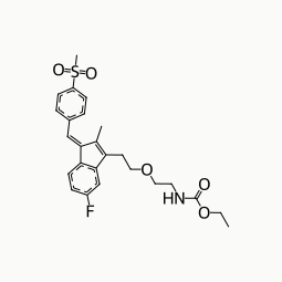 CCOC(=O)NCCOCCC1=C(C)/C(=C\c2ccc(S(C)(=O)=O)cc2)c2ccc(F)cc21